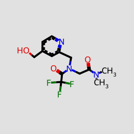 CN(C)C(=O)CN(Cc1cc(CO)ccn1)C(=O)C(F)(F)F